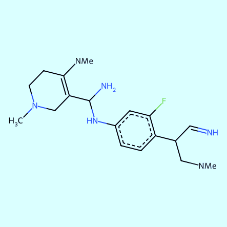 CNCC(C=N)c1ccc(NC(N)C2=C(NC)CCN(C)C2)cc1F